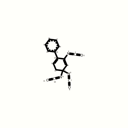 O=C=NC1=CC(N=C=O)(N=C=O)CC=C1c1ccccc1